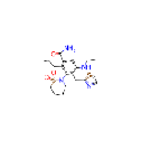 CCCc1c(C(N)=O)cc(NCC)c(Cc2nccs2)c1N1CCCCS1(=O)=O